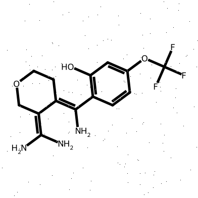 NC(N)=C1COCC/C1=C(/N)c1ccc(OC(F)(F)F)cc1O